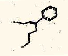 OC/C=C(\CCCBr)c1ccccc1